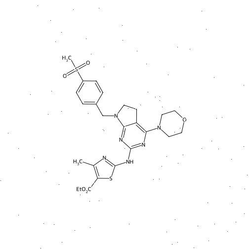 CCOC(=O)c1sc(Nc2nc(N3CCOCC3)c3c(n2)N(Cc2ccc(S(C)(=O)=O)cc2)CC3)nc1C